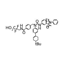 C=S(=O)(c1cccc(NC(=O)N(Cc2ccc(C(=O)NCC(F)(F)C(=O)O)cc2)c2ccc(C3=CCC(C(C)(C)C)CC3)cc2)c1)N(CC)c1ccccc1